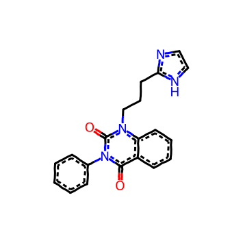 O=c1c2ccccc2n(CCCc2ncc[nH]2)c(=O)n1-c1ccccc1